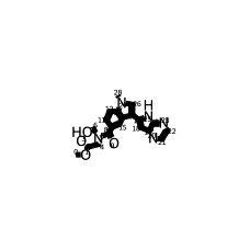 COC(=O)CN(CO)C(=O)c1ccc2c(c1)c(-c1cc3nccnc3[nH]1)cn2C